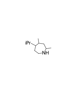 CC1CC(C)C(C(C)C)CCN1